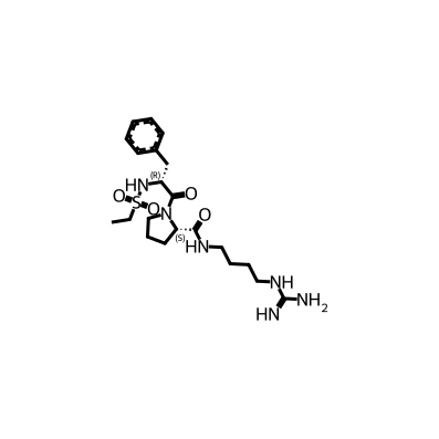 CCS(=O)(=O)N[C@H](Cc1ccccc1)C(=O)N1CCC[C@H]1C(=O)NCCCCNC(=N)N